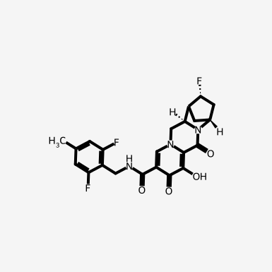 Cc1cc(F)c(CNC(=O)c2cn3c(c(O)c2=O)C(=O)N2[C@@H]4CC([C@H](F)C4)[C@@H]2C3)c(F)c1